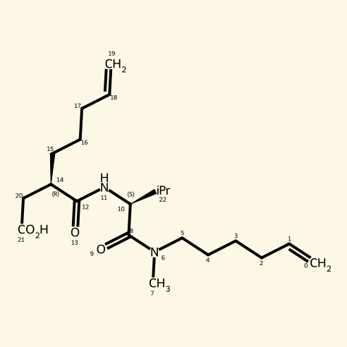 C=CCCCCN(C)C(=O)[C@@H](NC(=O)[C@H](CCCC=C)CC(=O)O)C(C)C